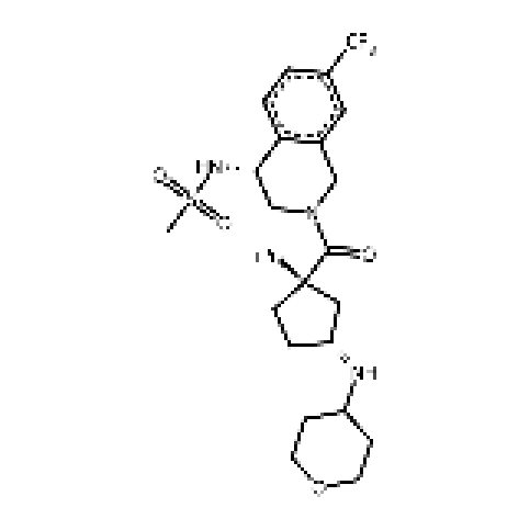 CC(C)[C@]1(C(=O)N2Cc3cc(C(F)(F)F)ccc3[C@@H](NS(C)(=O)=O)C2)CC[C@@H](NC2CCOCC2)C1